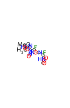 COc1ncc(-c2nc(N3CCOCC3)nc3c(OC4CCN(Cc5ccc(C(=O)NOC6CCCCO6)cc5F)CC4)cc(F)cc23)cc1NS(C)(=O)=O